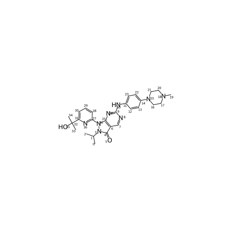 CC(C)n1c(=O)c2cnc(Nc3ccc(N4CCN(C)CC4)cc3)nc2n1-c1cccc(C(C)(C)O)n1